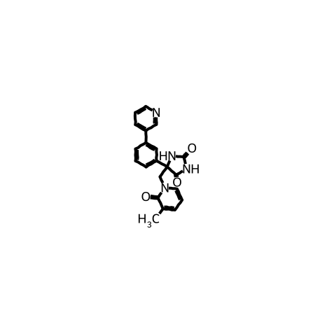 Cc1cccn(CC2(c3cccc(-c4cccnc4)c3)NC(=O)NC2=O)c1=O